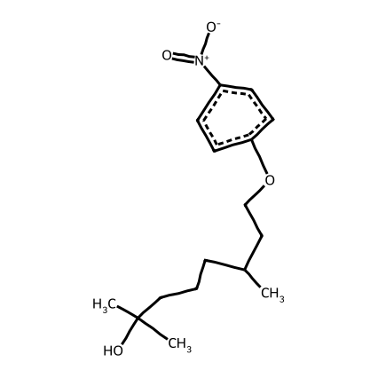 CC(CCCC(C)(C)O)CCOc1ccc([N+](=O)[O-])cc1